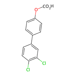 O=C(O)Oc1ccc(-c2ccc(Cl)c(Cl)c2)cc1